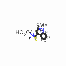 CSc1cc(C(=S)N(C)CC(=O)O)c2ccccc2n1